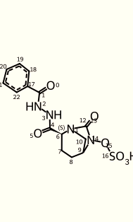 O=C(NNC(=O)[C@@H]1CCC2CN1C(=O)N2OS(=O)(=O)O)c1ccccc1